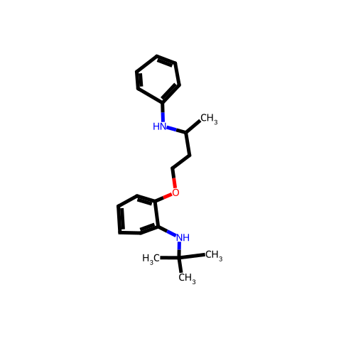 CC(CCOc1ccccc1NC(C)(C)C)Nc1ccccc1